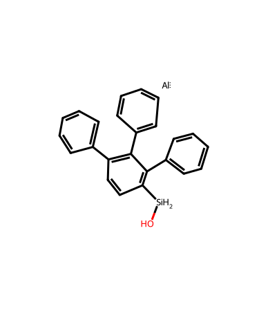 O[SiH2]c1ccc(-c2ccccc2)c(-c2ccccc2)c1-c1ccccc1.[Al]